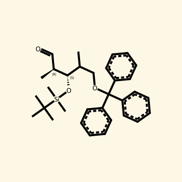 CC(COC(c1ccccc1)(c1ccccc1)c1ccccc1)[C@H](O[Si](C)(C)C(C)(C)C)[C@@H](C)C=O